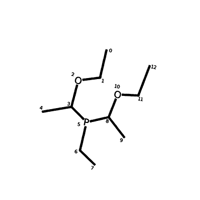 CCOC(C)P(CC)C(C)OCC